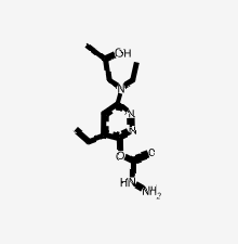 CCc1cc(N(CC)CC(C)O)nnc1OC(=O)NN